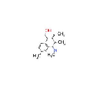 C=C(/C=C\C)/C(=N/C)c1cc(C)ccc1CCO